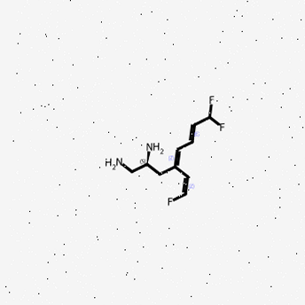 NC[C@@H](N)CC(/C=C\F)=C/C=C/C(F)F